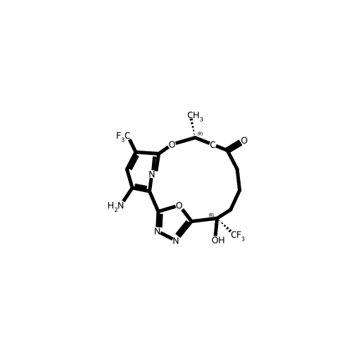 C[C@@H]1CC(=O)CCC[C@](O)(C(F)(F)F)c2nnc(o2)-c2nc(c(C(F)(F)F)cc2N)O1